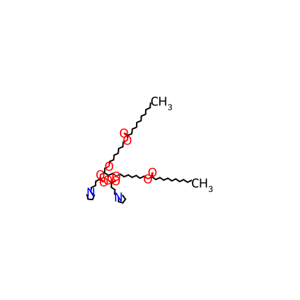 CCCCCCCCCCCC(=O)OCCCCCCCOCC(OC(=O)CCCN1CCCC1)C(COCCCCCCCOC(=O)CCCCCCCCCCC)OC(=O)CCCN1CCCC1